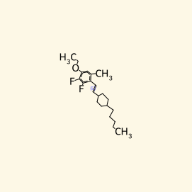 CCCCCC1CCC(/C=C/c2c(C)cc(OCC)c(F)c2F)CC1